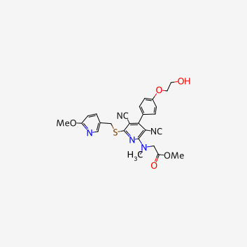 [C-]#[N+]c1c(N(C)CC(=O)OC)nc(SCc2ccc(OC)nc2)c(C#N)c1-c1ccc(OCCO)cc1